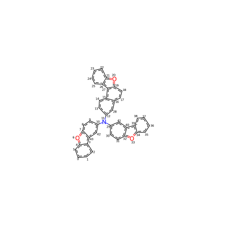 c1ccc2c(c1)oc1ccc(N(c3ccc4c(ccc5oc6ccccc6c54)c3)c3ccc4oc5ccccc5c4c3)cc12